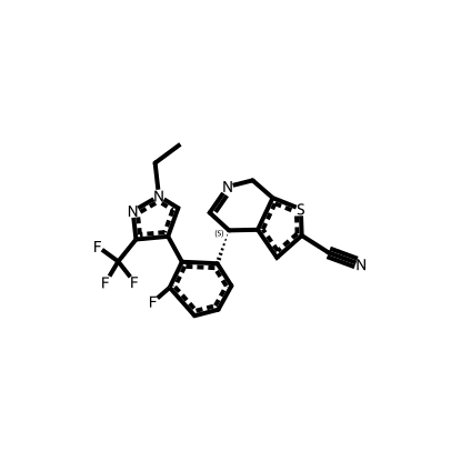 CCn1cc(-c2c(F)cccc2[C@@H]2C=NCc3sc(C#N)cc32)c(C(F)(F)F)n1